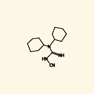 N#CNC(=N)N(C1CCCCC1)C1CCCCC1